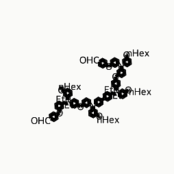 CCCCCCOc1cccc(N(c2ccc(-c3ccc(C(CC)(CC)N(c4ccc(Oc5cccc(N(c6cccc(OCCCCCC)c6)c6cccc(Oc7ccc(C=O)cc7)c6)c5)cc4)c4cccc(OCCCCCC)c4)cc3)cc2)c2cccc(Oc3ccc(N(c4cccc(OCCCCCC)c4)C(CC)(CC)c4cccc(Oc5ccc(C=O)cc5)c4)cc3)c2)c1